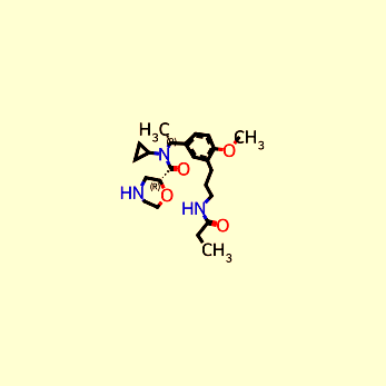 CCC(=O)NCCCc1cc([C@@H](C)N(C(=O)[C@H]2CNCCO2)C2CC2)ccc1OC